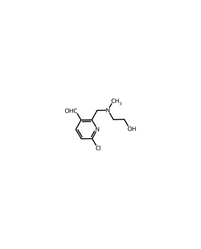 CN(CCO)Cc1nc(Cl)ccc1C=O